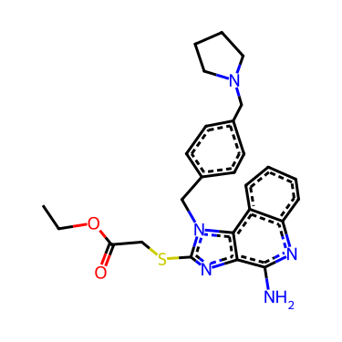 CCOC(=O)CSc1nc2c(N)nc3ccccc3c2n1Cc1ccc(CN2CCCC2)cc1